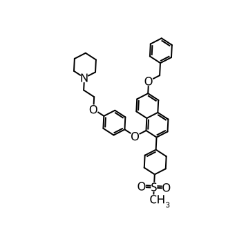 CS(=O)(=O)C1CC=C(c2ccc3cc(OCc4ccccc4)ccc3c2Oc2ccc(OCCN3CCCCC3)cc2)CC1